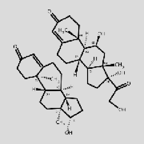 C[C@]12CCC(=O)C=C1CC[C@@H]1[C@@H]2[C@@H](O)C[C@@]2(C)[C@H]1CC[C@]2(O)C(=O)CO.C[C@]12CC[C@H]3[C@@H](CCC4=CC(=O)CC[C@@]43C)[C@@H]1CC[C@@H]2O